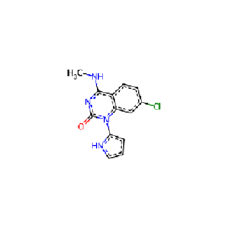 CNc1nc(=O)n(-c2ccc[nH]2)c2cc(Cl)ccc12